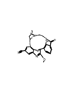 COc1nc2cc(C#N)cc3c2nc1-c1cccc2c(=O)n([nH]c12)CCN1CC(C[C@H]1C)O3